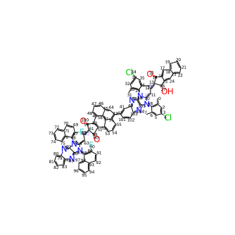 Cc1cc(Cl)cc(C)c1N1/C(=C/C=C2/C(=O)c3cc4ccccc4cc3C2O)N(c2c(C)cc(Cl)cc2C)c2nc3cc(-c4cc5cccc6c7c(c8cccc4c8c56)C(=O)/C(=C\C=C4N(c5c(F)ccc6ccccc56)c5nc6ccccc6nc5N4c4c(F)ccc5ccccc45)C7=O)ccc3nc21